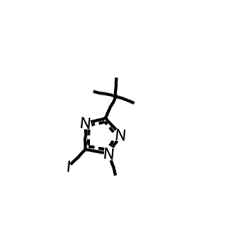 Cn1nc(C(C)(C)C)nc1I